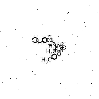 Cc1ccc(OC2=NS(=O)(=O)N=C(NCC3COc4ccc(CN5CCCCC5)cc4O3)N2C)cc1